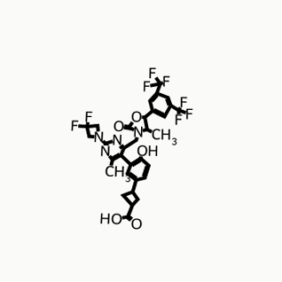 Cc1nc(N2CC(F)(F)C2)nc(CN2C(=O)OC(c3cc(C(F)(F)F)cc(C(F)(F)F)c3)C2C)c1-c1cc(C2CC(C(=O)O)C2)ccc1O